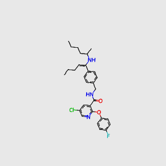 CCC/C=C(/NC(C)CCCC)c1ccc(CNC(=O)c2cc(Cl)cnc2Oc2ccc(F)cc2)cc1